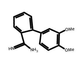 COc1ccc(-c2ccccc2C(=N)N)cc1OC